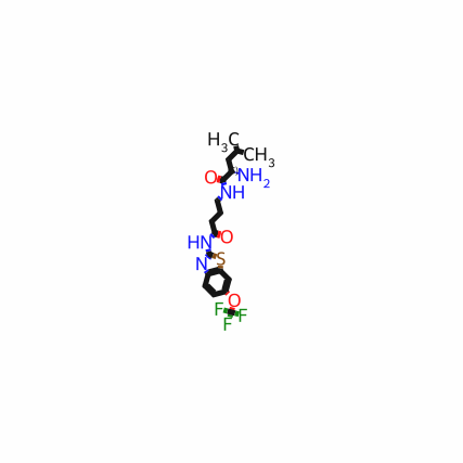 CC(C)C[C@H](N)C(=O)NCCCC(=O)Nc1nc2ccc(OC(F)(F)F)cc2s1